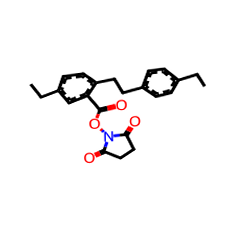 CCc1ccc(CCc2ccc(CC)cc2C(=O)ON2C(=O)CCC2=O)cc1